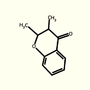 CC1Oc2ccccc2C(=O)C1C